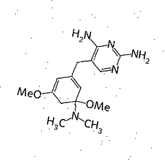 COC1=CC(Cc2cnc(N)nc2N)=CC(OC)(N(C)C)C1